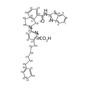 O=C(Nc1nc2ccccc2s1)c1cccc2c1CN(c1ccc(CCCCCCc3ccccc3)c(C(=O)O)n1)CC2